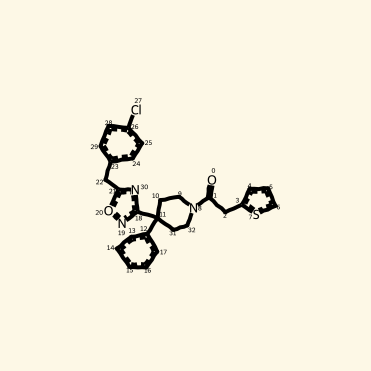 O=C(Cc1cccs1)N1CCC(c2ccccc2)(c2noc(Cc3ccc(Cl)cc3)n2)CC1